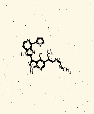 C=N/C=N\C=C(/C)c1cnc2[nH]nc(-c3nc4c(-c5cccs5)nccc4[nH]3)c2c1F